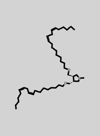 CCCCC/C=C\C/C=C\CCCCCCCCOC[C@H]1CN(C)C[C@@H]1COCCCCCCCC/C=C\C/C=C\CCCCC